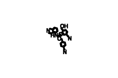 N#Cc1ccc(CO)cc1.N#Cc1ccc(COC(=O)Nc2cccc3cnccc23)cc1